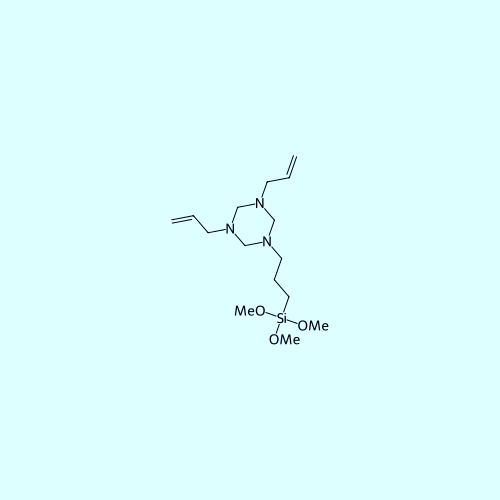 C=CCN1CN(CC=C)CN(CCC[Si](OC)(OC)OC)C1